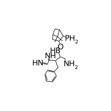 CC1(C)C2CC(OBC(CN)C(Cc3ccccc3)C(=N)C=N)C(P)C1C2